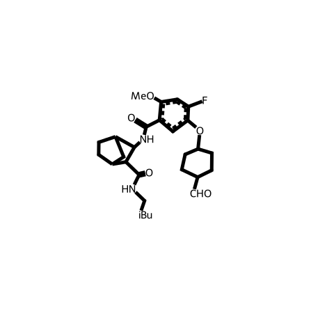 CCC(C)CNC(=O)C1C2CCC(C2)C1NC(=O)c1cc(OC2CCC(C=O)CC2)c(F)cc1OC